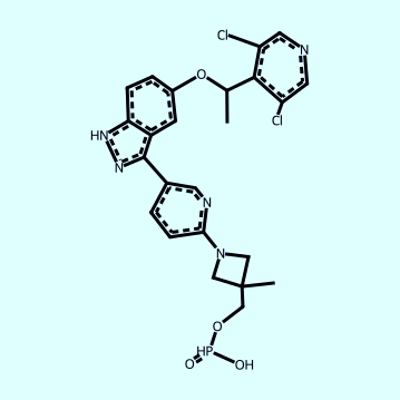 CC(Oc1ccc2[nH]nc(-c3ccc(N4CC(C)(CO[PH](=O)O)C4)nc3)c2c1)c1c(Cl)cncc1Cl